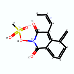 C=c1cccc2c1=C(/C=C\C)C(=O)N(OS(C)(=O)=O)C2=O